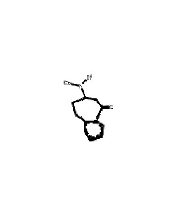 CCN(CC)C1CCc2ccccc2C(=O)C1